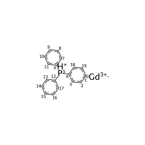 [Gd+3].c1ccc([PH+](c2ccccc2)c2ccccc2)cc1